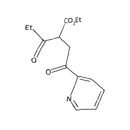 CCOC(=O)C(CC(=O)c1ccccn1)C(=O)CC